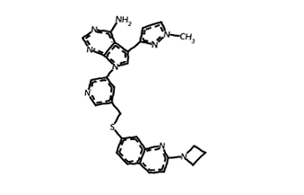 Cn1ccc(-c2cn(-c3cncc(CSc4ccc5ccc(N6CCC6)nc5c4)c3)c3ncnc(N)c23)n1